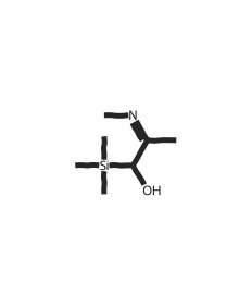 CN=C(C)C(O)[Si](C)(C)C